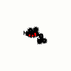 c1cc(-c2cccc(-n3c4ccccc4c4cccnc43)c2)cc(-c2ccccc2N2c3ccccc3C3(c4ccccc42)C2CC4C[C@H](C2)C[C@H]3C4)c1